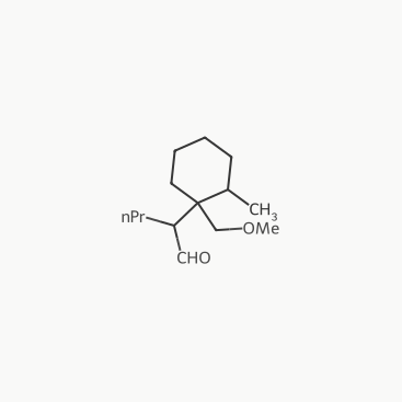 CCCC(C=O)C1(COC)CCCCC1C